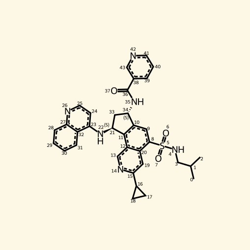 CC(C)CNS(=O)(=O)c1cc2c(c3cnc(C4CC4)cc13)[C@@H](Nc1ccnc3ccccc13)C[C@@H]2NC(=O)c1cccnc1